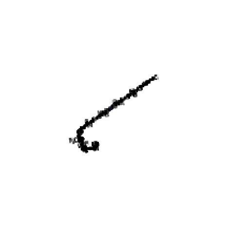 Cc1ccc(C(=O)Nc2ccc(CN3CCN(CCCNC(=O)OCCOCCOCCNC(=O)OC/C=C/COC(=O)NCCOCCOCCOC(=O)NCCOCCOCCCCCCCl)CC3)c(C(F)(F)F)c2)cc1C#Cc1cnc2cccnn12